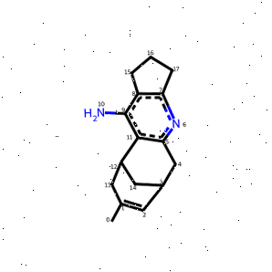 CC1=CC2Cc3nc4c(c(N)c3C(C1)C2)CCC4